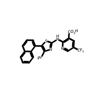 CC(C)c1nc(Nc2ncc(C(F)(F)F)cc2C(=O)O)sc1-c1cccc2ccccc12